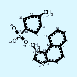 C[n+]1csc2ccc3ccccc3c21.Cc1ccc(S(=O)(=O)[O-])cc1